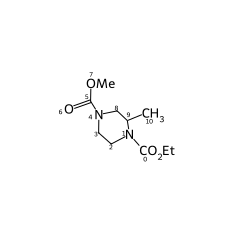 CCOC(=O)N1CCN(C(=O)OC)CC1C